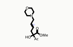 COC(=O)C(O)(C/C=C/CN1CCOCC1)C(C)=O